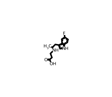 C[C@H](Cc1c[nH]c2ccc(F)cc12)NCCC(=O)O